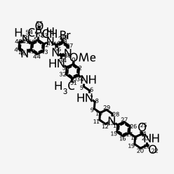 COc1cc(NCCNCCC2CCN(c3ccc(C4CCC(=O)NC4=O)cc3)CC2)c(C)cc1Nc1ncc(Br)c(Nc2ccc3nccnc3c2P(C)(C)=O)n1